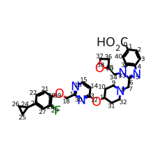 O=C(O)c1ccc2nc(CN3CCC(Oc4ccnc(COc5ccc(C6CC6)cc5F)n4)CC3)n(C[C@@H]3CCO3)c2c1